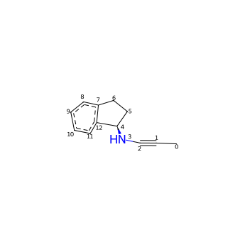 CC#CN[C@@H]1CCc2ccccc21